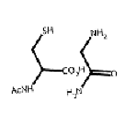 CC(=O)NC(CS)C(=O)O.NCC(N)=O